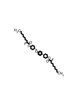 CCCCCCCC[C@@H](F)C(=O)O[C@H]1CC[C@H](COc2ccc([C@H]3CC[C@H](OC(=O)[C@H](F)CCCCCCCC)CC3)cc2)CC1